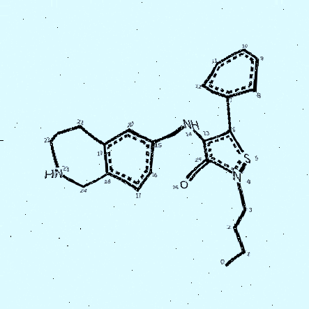 CCCCn1sc(-c2ccccc2)c(Nc2ccc3c(c2)CCNC3)c1=O